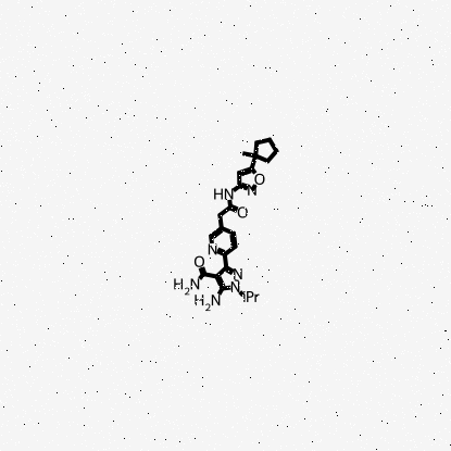 CC(C)n1nc(-c2ccc(CC(=O)Nc3cc(C4(C)CCCC4)on3)cn2)c(C(N)=O)c1N